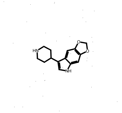 c1[nH]c2cc3c(cc2c1C1CCNCC1)OCO3